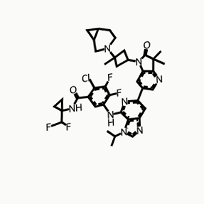 CC(C)n1cnc2cc(-c3cnc4c(c3)N(C3CC(C)(N5CCC6CC6C5)C3)C(=O)C4(C)C)nc(Nc3cc(C(=O)NC4(C(F)F)CC4)c(Cl)c(F)c3F)c21